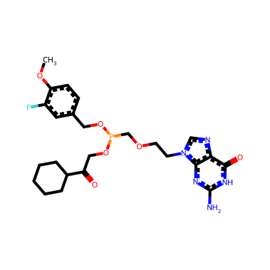 COc1ccc(COP(COCCn2cnc3c(=O)[nH]c(N)nc32)OCC(=O)C2CCCCC2)cc1F